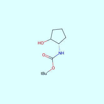 CC(C)(C)OC(=O)N[C@H]1CCCC1O